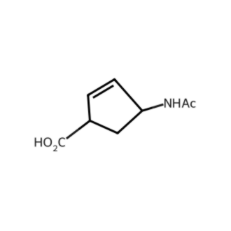 CC(=O)NC1C=CC(C(=O)O)C1